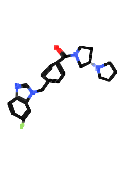 O=C(c1ccc(Cn2cnc3ccc(F)cc32)cc1)N1CC[C@H](N2CCCC2)C1